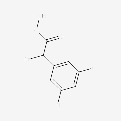 COC(=O)C(Br)c1cc(Cl)cc(Cl)c1